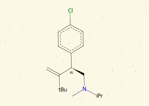 C=C([C@H](CN(C)C(C)C)c1ccc(Cl)cc1)C(C)(C)C